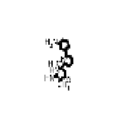 CN1C(=N)N[C@](C)(c2cccc(-c3cccc(N)c3)n2)CC1=O